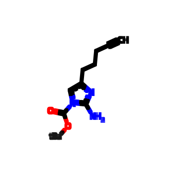 C#CCCCc1cn(C(=O)OC(C)(C)C)c(N)n1